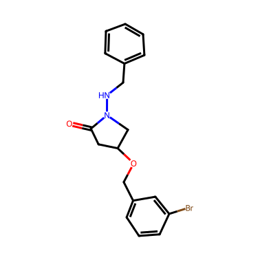 O=C1CC(OCc2cccc(Br)c2)CN1NCc1ccccc1